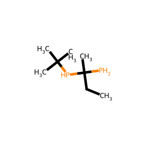 CCC(C)(P)PC(C)(C)C